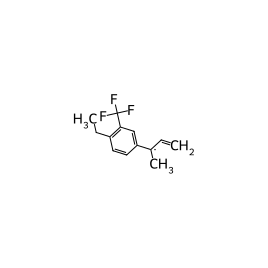 C=C[C](C)c1ccc(CC)c(C(F)(F)F)c1